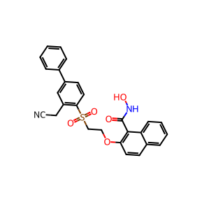 N#CCc1cc(-c2ccccc2)ccc1S(=O)(=O)CCOc1ccc2ccccc2c1C(=O)NO